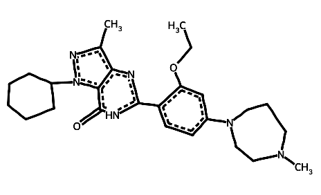 CCOc1cc(N2CCCN(C)CC2)ccc1-c1nc2c(C)nn(C3CCCCC3)c2c(=O)[nH]1